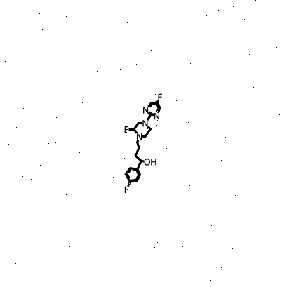 OC(CCCN1CCN(c2ncc(F)cn2)CC1F)c1ccc(F)cc1